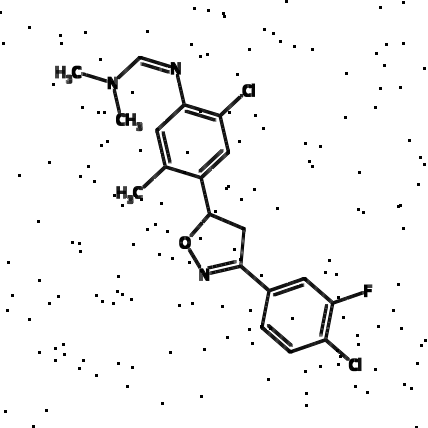 Cc1cc(/N=C\N(C)C)c(Cl)cc1C1CC(c2ccc(Cl)c(F)c2)=NO1